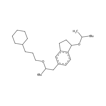 CC(OC1CCc2cc(CC(OCCCC3CCCCC3)C(C)(C)C)ccc21)C(C)(C)C